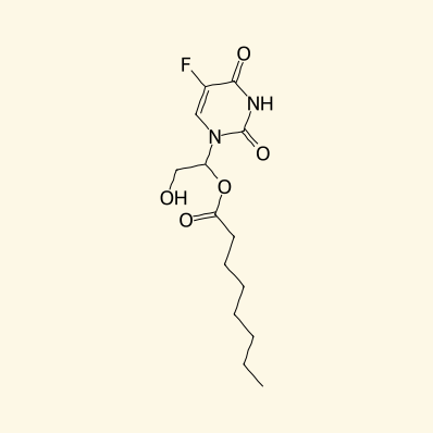 CCCCCCCC(=O)OC(CO)n1cc(F)c(=O)[nH]c1=O